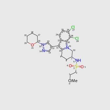 COCCS(=O)(=O)NC1CCc2c(-c3cnn(C4CCCCO4)c3)c3ccc(Cl)c(Cl)c3n2C1